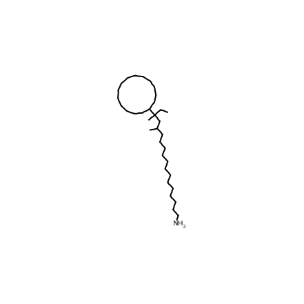 CCC(C)(CC(C)CCCCCCCCCCCCCN)C1CCCCCCCCCCCCCC1